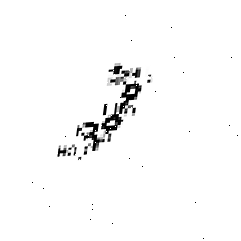 N=C(N)Nc1cccc(C(=O)Nc2ccc(OC(CC(=O)O)c3cccnc3)cc2)c1